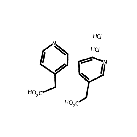 Cl.Cl.O=C(O)Cc1cccnc1.O=C(O)Cc1ccncc1